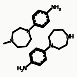 CN1CCCN(c2ccc(N)cc2)CC1.Nc1ccc(N2CCCNCC2)cc1